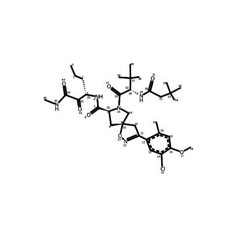 CCC[C@H](NC(=O)[C@@H]1C[C@]2(CC(c3cc(Cl)c(OC)cc3C)=NO2)CN1C(=O)[C@@H](NC(=O)CC(C)(C)C)C(C)(C)C)C(=O)C(=O)NC